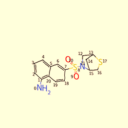 Nc1cccc2cc(S(=O)(=O)N3CC4CC3CS4)ccc12